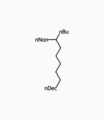 [CH2]CCCC(CCCCCCCCC)CCCCCCCCCCCCCCC